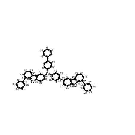 c1ccc(-c2ccc(N(c3ccc(-c4ccc5oc6c(-c7ccccc7)cccc6c5c4)cc3)c3ccc4oc5c(-c6ccccc6)cccc5c4c3)cc2)cc1